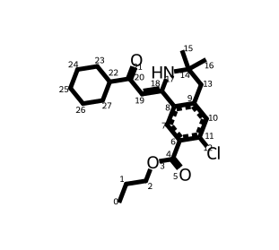 CCCOC(=O)c1cc2c(cc1Cl)CC(C)(C)NC2=CC(=O)C1CCCCC1